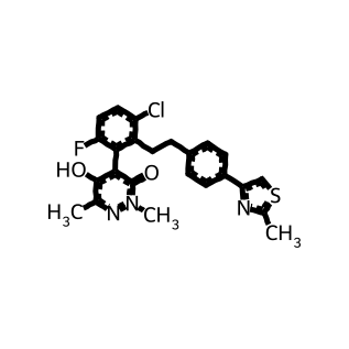 Cc1nc(-c2ccc(CCc3c(Cl)ccc(F)c3-c3c(O)c(C)nn(C)c3=O)cc2)cs1